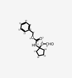 O=COC1(NC(=O)OCc2ccccc2)CCCC1